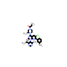 C=CC(=O)N1CCN(c2nc(=O)n(-c3c(C)ncnc3C(C)C)c3nc(-c4cc(C)ccc4F)c(Cl)cc23)C(C)C1